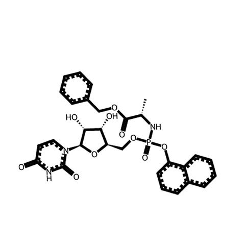 C[C@H](NP(=O)(OC[C@H]1O[C@@H](n2ccc(=O)[nH]c2=O)[C@H](O)[C@@H]1O)Oc1cccc2ccccc12)C(=O)OCc1ccccc1